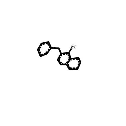 CCc1c(Cc2ccccc2)ccc2ccccc12